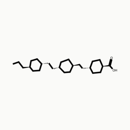 CCC[C@H]1CC[C@H](CC[C@H]2CC[C@H](CC[C@H]3CC[C@H](C(=O)O)CC3)CC2)CC1